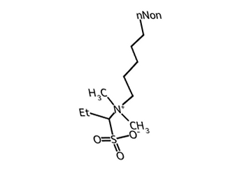 CCCCCCCCCCCCCC[N+](C)(C)C(CC)S(=O)(=O)[O-]